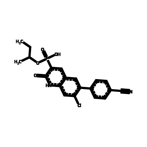 CCC(C)OP(=O)(O)c1cc2cc(-c3ccc(C#N)cc3)c(Cl)cc2[nH]c1=O